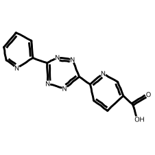 O=C(O)c1ccc(-c2nnc(-c3ccccn3)nn2)nc1